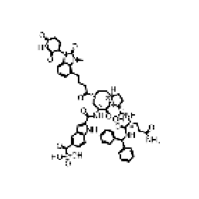 Cn1c(=O)n(C2CCC(=O)NC2=O)c2cccc(CCCC(=O)N3CC[C@H]4CC[C@@H](C(O)N[C@@H](CCC(N)=O)C(=O)NC(c5ccccc5)c5ccccc5)N4C(=O)[C@@H](NC(=O)c4cc5cc(C(=O)P(=O)(O)O)ccc5[nH]4)C3)c21